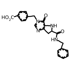 O=C(O)c1ccc(Cn2cnc3c(c2=O)NC(C(=O)NCc2ccccc2)C3)cc1